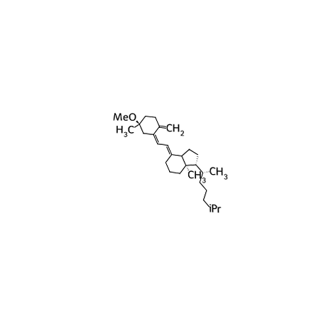 C=C1CC[C@](C)(OC)C/C1=C/C=C1CCC[C@@]2(C)C1CC[C@@H]2[C@H](C)CCCC(C)C